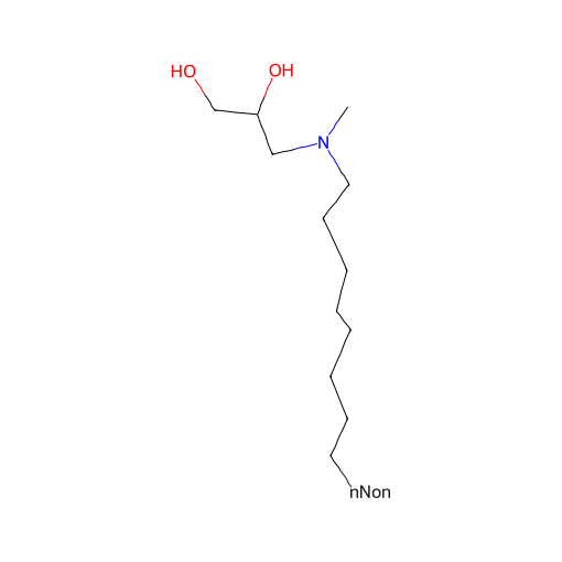 CCCCCCCCCCCCCCCCCN(C)CC(O)CO